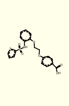 O=C(O)c1ccc(OCCOc2ccccc2NS(=O)(=O)c2cccs2)cc1